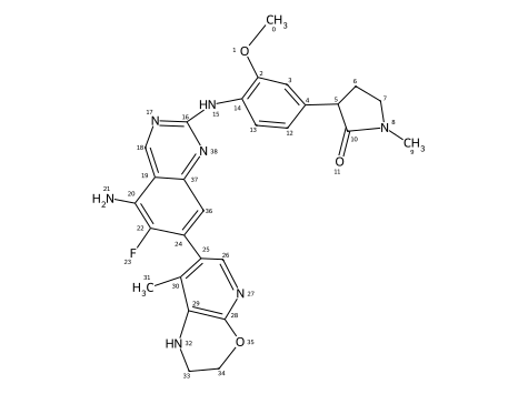 COc1cc(C2CCN(C)C2=O)ccc1Nc1ncc2c(N)c(F)c(-c3cnc4c(c3C)NCCO4)cc2n1